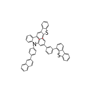 c1cc(-c2cccc(N(c3ccc(-c4ccc5ccccc5c4)cc3)c3ccccc3-c3ccc4sc5ccccc5c4c3)c2)cc(-c2cccc3c2sc2ccccc23)c1